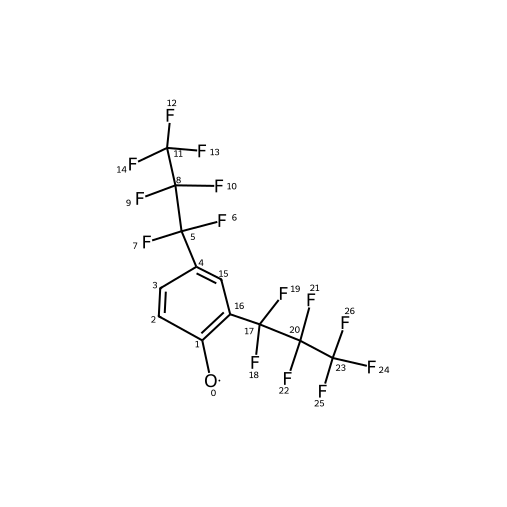 [O]c1ccc(C(F)(F)C(F)(F)C(F)(F)F)cc1C(F)(F)C(F)(F)C(F)(F)F